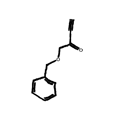 C#CC(=O)COCc1ccccc1